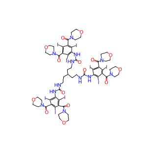 O=C(NCCC(CCNC(=O)Nc1c(I)c(C(=O)N2CCOCC2)c(I)c(C(=O)N2CCOCC2)c1I)CCNC(=O)Nc1c(I)c(C(=O)N2CCOCC2)c(I)c(C(=O)N2CCOCC2)c1I)Nc1c(I)c(C(=O)N2CCOCC2)c(I)c(C(=O)N2CCOCC2)c1I